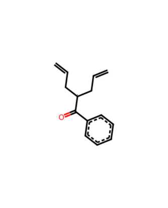 C=CC[C](CC=C)C(=O)c1ccccc1